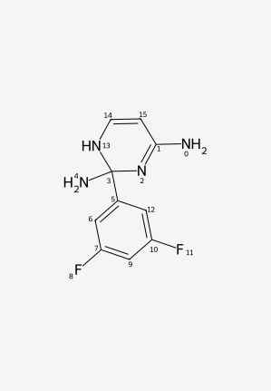 NC1=NC(N)(c2cc(F)cc(F)c2)NC=C1